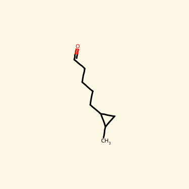 CC1C[C]1CCCCC=O